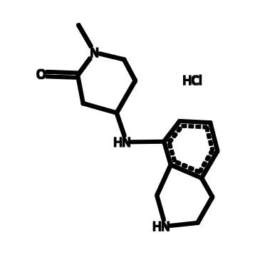 CN1CCC(Nc2cccc3c2CNCC3)CC1=O.Cl